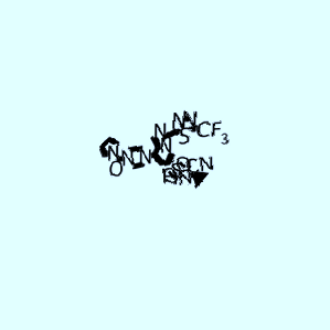 N#CC1(NS(=O)(=O)c2cc(N3CCN(C(=O)N4CCCC4)CC3)c3cnc(-c4nnc(C(F)(F)F)s4)n3c2)CC1